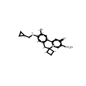 CCOC(=O)c1cn2c(cc1=O)-c1cc(C(C)C)c(OCC3CC3)cc1CC21CCC1